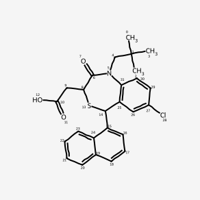 CC(C)(C)CN1C(=O)C(CC(=O)O)SC(c2cccc3ccccc23)c2cc(Cl)ccc21